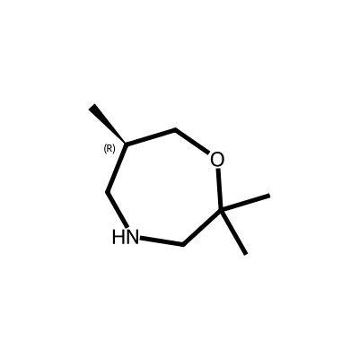 C[C@@H]1CNCC(C)(C)OC1